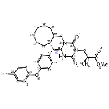 COC(=O)[C@@H](C)Cn1c(=O)[nH]/c(=N\c2ccc(Oc3ccc(F)cn3)cc2)n(CC2CCCCCCC2)c1=O